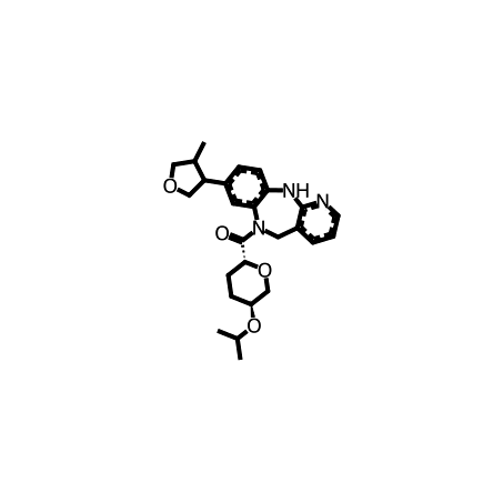 CC(C)O[C@H]1CC[C@H](C(=O)N2Cc3cccnc3Nc3ccc(C4COCC4C)cc32)OC1